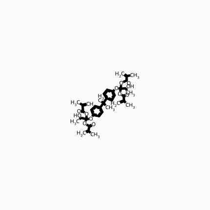 C=C(C)C(=O)OC(OC(=O)C(=C)C)(Oc1ccc(C(C)(C)c2ccc(OC(OC(=O)C(=C)C)(OC(=O)C(=C)C)C(C)O)cc2)cc1)C(C)O